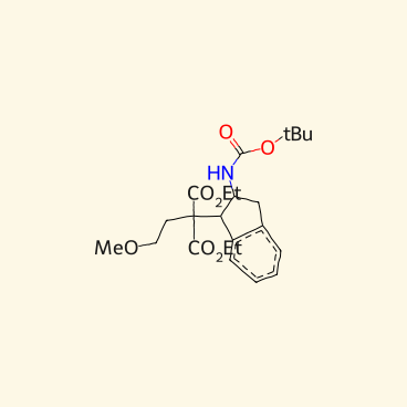 CCOC(=O)C(CCOC)(C(=O)OCC)C1c2ccccc2CC1NC(=O)OC(C)(C)C